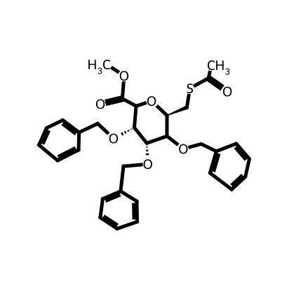 COC(=O)C1O[C@@H](CSC(C)=O)C(OCc2ccccc2)[C@H](OCc2ccccc2)[C@@H]1OCc1ccccc1